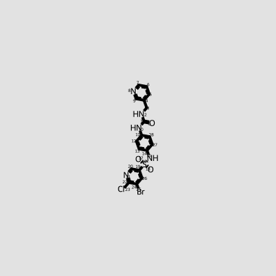 O=C(NCc1cccnc1)Nc1ccc(NS(=O)(=O)c2cnc(Cl)c(Br)c2)cc1